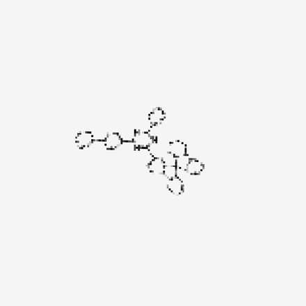 C1=CC(C2(c3ccccc3)C3=C(CCC=C3)c3ccc(-c4nc(-c5ccccc5)nc(-c5ccc(-c6ccccc6)cc5)n4)cc32)=CCC1